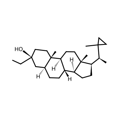 CC[C@]1(O)CC[C@@]2(C)[C@@H](CC[C@@H]3[C@@H]2CC[C@]2(C)[C@@H]([C@H](C)C4(C)CC4)CC[C@@H]32)C1